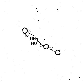 OC(CNCCOc1ccccc1Br)COc1ccc(OCc2ccccc2)cc1